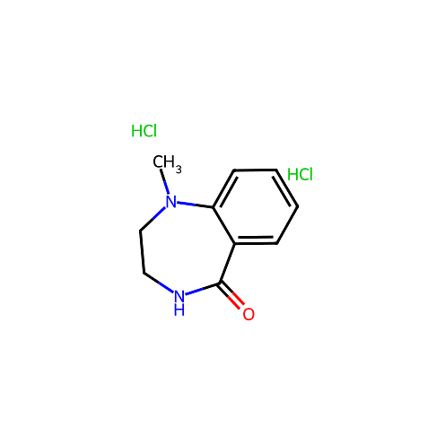 CN1CCNC(=O)c2ccccc21.Cl.Cl